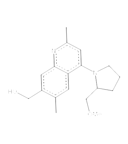 COCC1CCCN1c1cc(C)nc2cc(CO)c(C)cc12